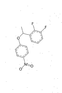 CC(Oc1ccc([N+](=O)[O-])cc1)c1cccc(F)c1F